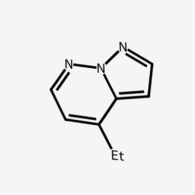 CCc1ccnn2nccc12